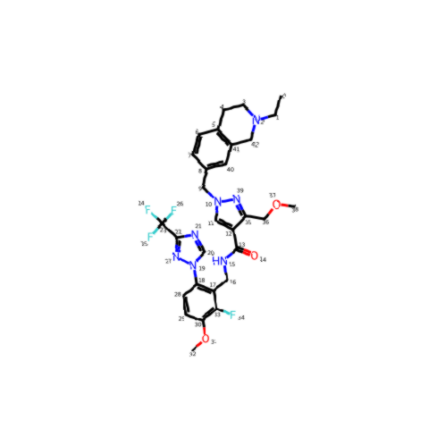 CCN1CCc2ccc(Cn3cc(C(=O)NCc4c(-n5cnc(C(F)(F)F)n5)ccc(OC)c4F)c(COC)n3)cc2C1